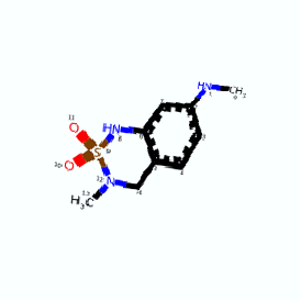 CNc1ccc2c(c1)NS(=O)(=O)N(C)C2